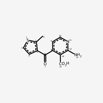 Cc1sccc1C(=O)c1ccnc(N)c1C(=O)O